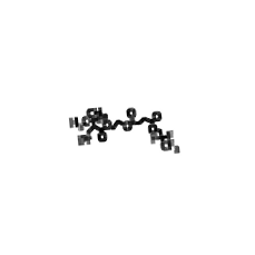 CCC(C)(C)C(CC(C)C)C(=O)OCCOC(=O)CCC(=O)OCC(F)(F)C(F)(F)F